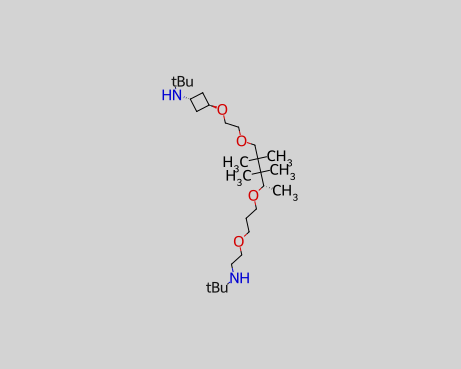 C[C@H](OCCCOCCNC(C)(C)C)C(C)(C)C(C)(C)COCCO[C@H]1C[C@H](NC(C)(C)C)C1